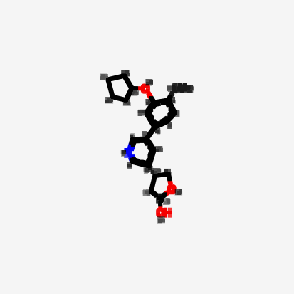 CSc1ccc(-c2cncc([C@@H]3COB(O)C3)c2)cc1OC1CCCC1